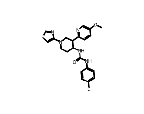 COc1ccc(C2CN(c3cscn3)CCC2NC(=O)Nc2ccc(Cl)cc2)nc1